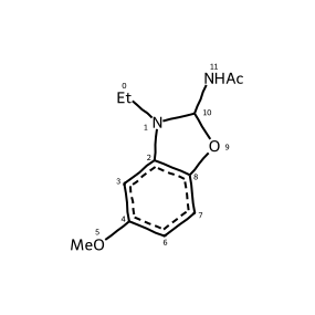 CCN1c2cc(OC)ccc2OC1NC(C)=O